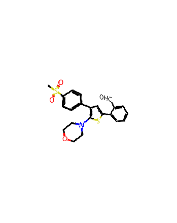 CS(=O)(=O)c1ccc(-c2cc(-c3ccccc3C=O)sc2N2CCOCC2)cc1